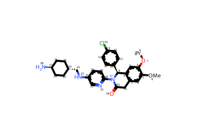 COc1cc2c(cc1OC(C)C)[C@H](c1ccc(Cl)cc1)N(c1ccc(NC[C@H]3CC[C@H](N)CC3)cn1)C(=O)C2